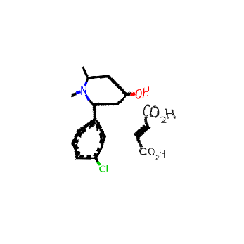 CC1CC(O)CC(c2cccc(Cl)c2)N1C.O=C(O)/C=C/C(=O)O